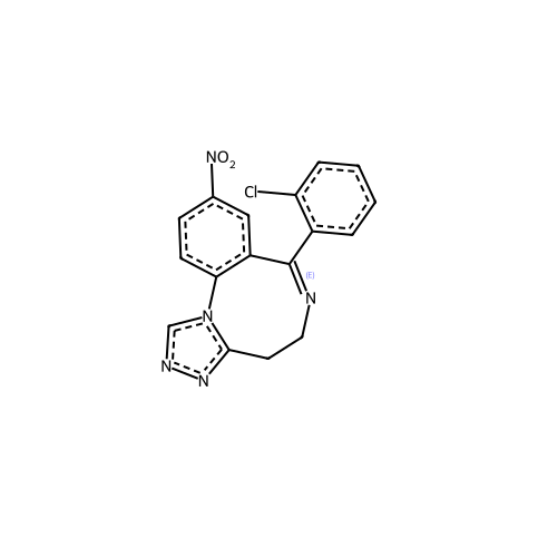 O=[N+]([O-])c1ccc2c(c1)/C(c1ccccc1Cl)=N\CCc1nncn1-2